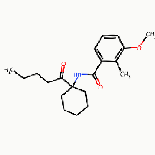 CCCCC(=O)C1(NC(=O)c2cccc(OC)c2C)CCCCC1